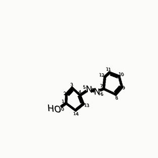 OC1C=CC(N=NC2C=CC=CC2)=CC1